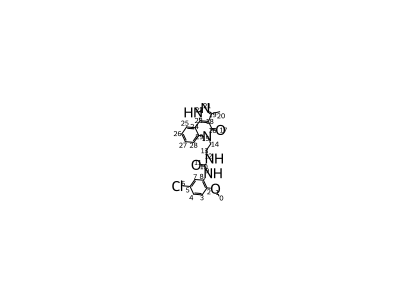 COc1ccc(Cl)cc1NC(=O)NCCn1c(=O)c2c(C)n[nH]c2c2ccccc21